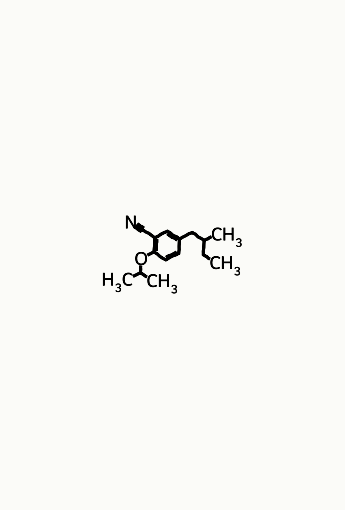 CCC(C)Cc1ccc(OC(C)C)c(C#N)c1